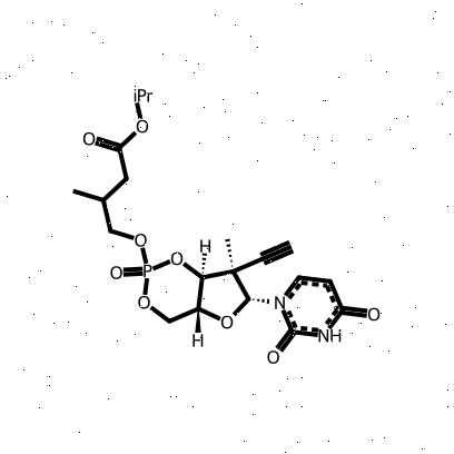 C#C[C@]1(C)[C@@H]2OP(=O)(OCC(C)CC(=O)OC(C)C)OC[C@H]2O[C@H]1n1ccc(=O)[nH]c1=O